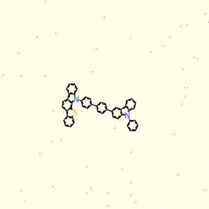 c1ccc(-n2c3ccccc3c3cc(-c4ccc(-c5ccc(-n6c7ccccc7c7ccc8c9ccccc9sc8c76)cc5)cc4)ccc32)cc1